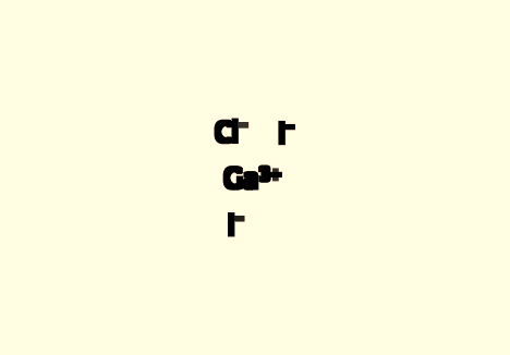 [Cl-].[Ga+3].[I-].[I-]